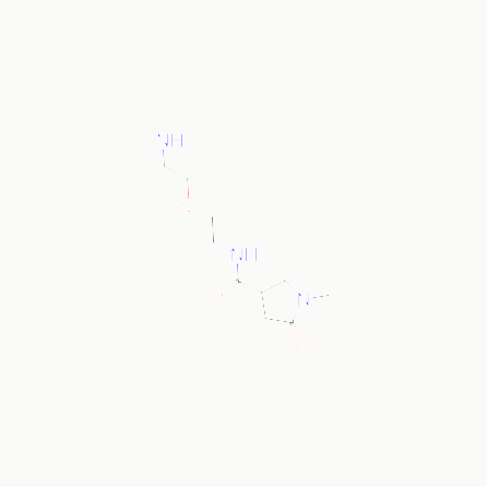 CN1CC(C(=O)NCCOCCN)CC1=O